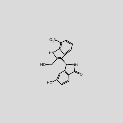 O=C1N[C@H](c2c(CO)[nH]c3c([N+](=O)[O-])cccc23)c2cc(O)ccc21